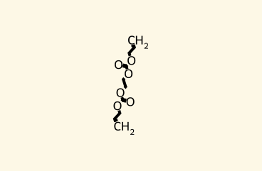 C=CCOC(=O)OCCOC(=O)OCC=C